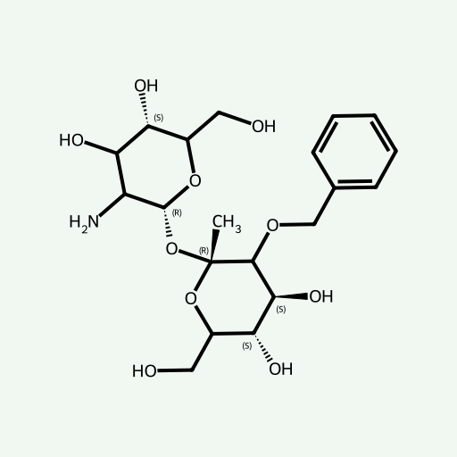 C[C@]1(O[C@H]2OC(CO)[C@@H](O)C(O)C2N)OC(CO)[C@@H](O)[C@H](O)C1OCc1ccccc1